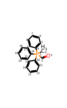 CP(C=O)(c1ccccc1)(c1ccccc1)c1ccccc1